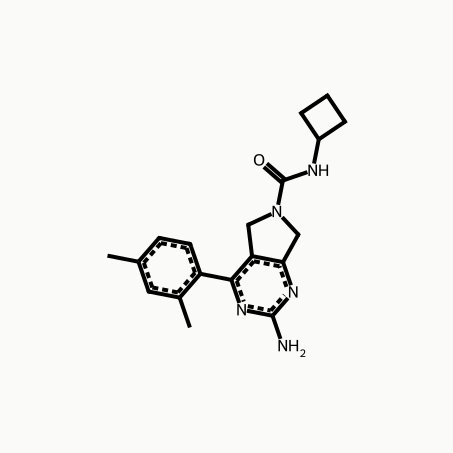 Cc1ccc(-c2nc(N)nc3c2CN(C(=O)NC2CCC2)C3)c(C)c1